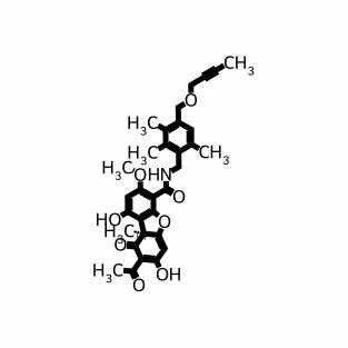 CC#CCOCc1cc(C)c(CNC(=O)c2c(OC)cc(O)c3c2OC2=CC(O)=C(C(C)=O)C(=O)[C@]23C)c(C)c1C